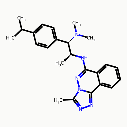 Cc1nnc2c3ccccc3c(N[C@@H](C)[C@H](c3ccc(C(C)C)cc3)N(C)C)nn12